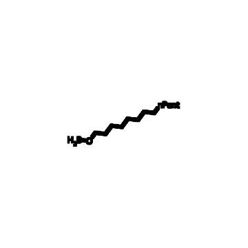 BOCCCCCCCCCCCCC